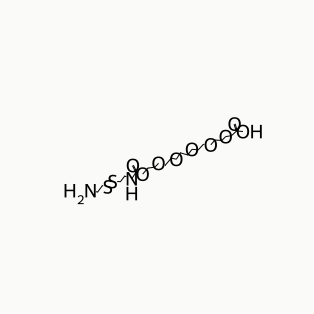 NCCSSCCNC(=O)OCCOCCOCCOCCOCCOCC(=O)O